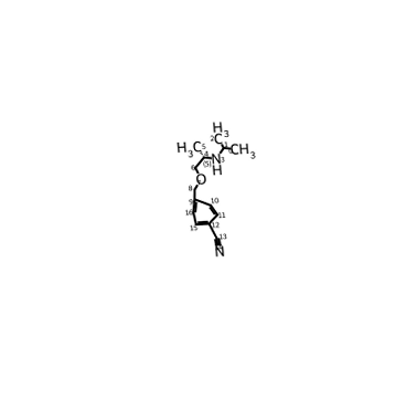 CC(C)N[C@@H](C)COCc1ccc(C#N)cc1